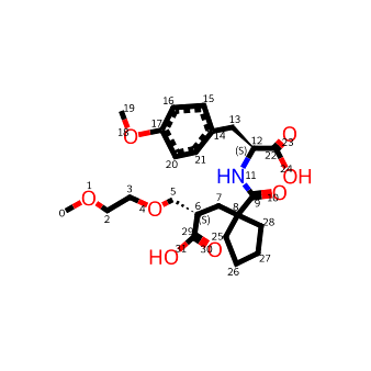 COCCOC[C@H](CC1(C(=O)N[C@@H](Cc2ccc(OC)cc2)C(=O)O)CCCC1)C(=O)O